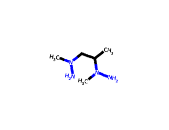 CC(CN(C)N)N(C)N